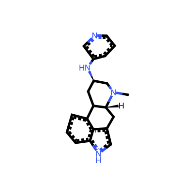 CN1C[C@H](Nc2cccnc2)CC2c3cccc4[nH]cc(c34)C[C@H]21